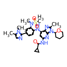 Cc1cnc(-c2ccc(Nc3cc(NC(=O)C4CC4)nc4c3nc(C)n4C3CCCCO3)c(N(C)S(C)(=O)=O)c2)n1C